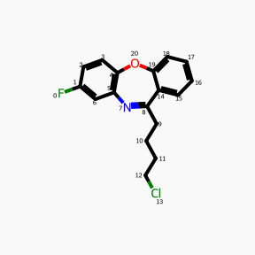 Fc1ccc2c(c1)N=C(CCCCCl)c1ccccc1O2